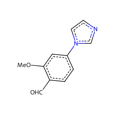 COc1cc(-n2ccnc2)ccc1C=O